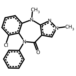 CN1c2cccc(Cl)c2N(c2ccccc2)C(=O)c2cn(C)nc21